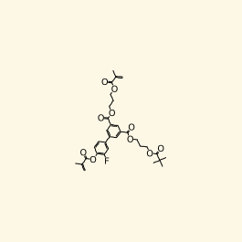 C=C(C)C(=O)OCCCOC(=O)c1cc(C(=O)OCCCOC(=O)C(C)(C)C)cc(-c2ccc(OC(=O)C(=C)C)c(F)c2)c1